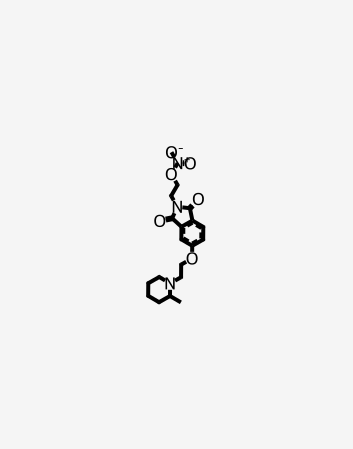 CC1CCCCN1CCOc1ccc2c(c1)C(=O)N(CCO[N+](=O)[O-])C2=O